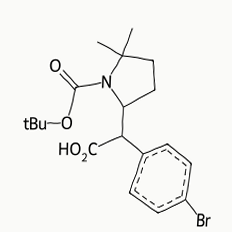 CC(C)(C)OC(=O)N1C(C(C(=O)O)c2ccc(Br)cc2)CCC1(C)C